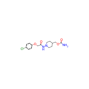 NC(=O)OCC1CCN(NC(=O)COc2ccc(Cl)cc2)CC1